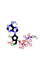 CP(=O)(N=O)OP(=O)(O)OP(=O)(O)OC[C@@]1(CCl)CC(n2cnc3c(N)ncnc32)[C@H](F)[C@@H]1O